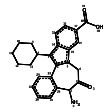 NC1C(=O)Cn2c(c(C3CCCCC3)c3ccc(C(=O)O)cc32)-c2ccccc21